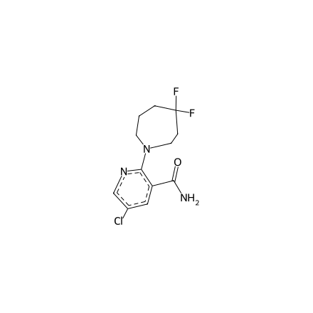 NC(=O)c1cc(Cl)cnc1N1CCCC(F)(F)CC1